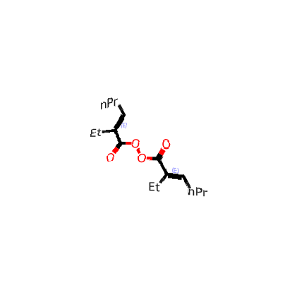 CCC/C=C(\CC)C(=O)OOC(=O)/C(=C/CCC)CC